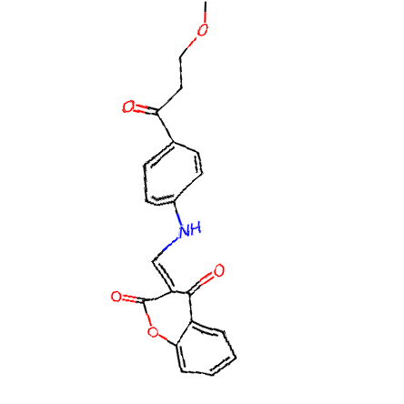 COCCC(=O)c1ccc(NC=C2C(=O)Oc3ccccc3C2=O)cc1